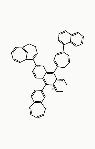 C/C=c1/c(C2=CC=C(c3cccc4ccccc34)C=CC2)c2cc(C3=CCCC4=CC3C=CC=C4)ccc2c(-c2ccc3c(c2)CC=CC=C3)/c1=C/C